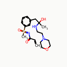 C=CC(=O)N=S(C)(=O)c1cccc(CC(C)(O)NCCN2CCOCC2)c1